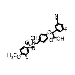 COc1ccc(S(=O)(=O)N(C)Cc2ccc(OC(C(=O)O)c3cc(F)cc(C#N)c3)cc2)cc1F